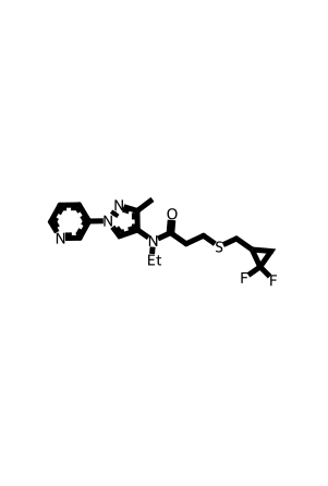 CCN(C(=O)CCSCC1CC1(F)F)c1cn(-c2cccnc2)nc1C